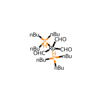 CCCC[PH](CCCC)(CCCC)[Ru]([CH]=O)([CH]=O)([CH]=O)[PH](CCCC)(CCCC)CCCC